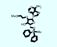 COCCOC1C(O)[C@@H](CO[Si](c2ccccc2)(c2ccccc2)C(C)(C)C)O[C@H]1n1cnc2c(N)ncnc21